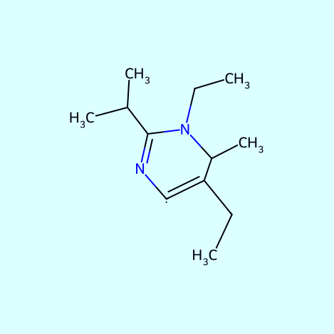 CCC1=[C]N=C(C(C)C)N(CC)C1C